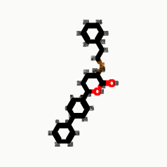 O=C1OC(c2ccc(-c3ccccc3)cc2)CC=C1SCCc1ccccc1